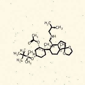 CC(=O)O[C@H]1C[C@@H](O[Si](C)(C)C(C)(C)C)CC[C@]1(C)C1CC[C@@]2(C)C(CCC23OCCO3)[C@@H]1CNCC(C)C